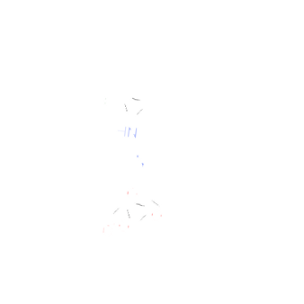 O=c1ccc2c(OCCCN3CCC(NCc4cccc(Cl)c4)CC3)c3ccoc3cc2o1